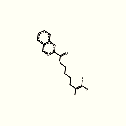 CC(CCCCOC(=O)c1cc2ccccc2cn1)=C(F)F